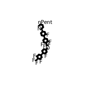 CCCCCc1ccc(-c2ccc(-c3cc(F)c(C(F)(F)Oc4ccc(-c5cc(F)c(C(F)F)c(F)c5)c(F)c4)c(F)c3)c(F)c2)nc1